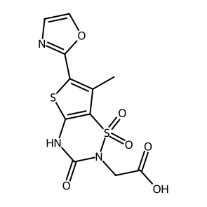 Cc1c(-c2ncco2)sc2c1S(=O)(=O)N(CC(=O)O)C(=O)N2